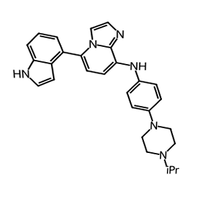 CC(C)N1CCN(c2ccc(Nc3ccc(-c4cccc5[nH]ccc45)n4ccnc34)cc2)CC1